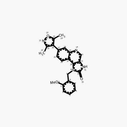 COc1ccccc1Cn1c(=O)[nH]c2cnc3cc(-c4c(C)noc4C)ccc3c21